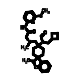 CSc1cccc(NC(=O)CN(C)CC2(N(C=O)CC3CCC3)CCC(c3ccccc3)(N(C)C)CC2)n1